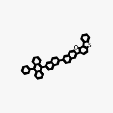 c1ccc(-c2c3ccccc3c(-c3ccc4cc(-c5ccc6cc7c(cc6c5)oc5c7ccc6sc7ccccc7c65)ccc4c3)c3ccccc23)cc1